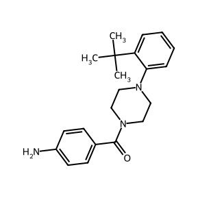 CC(C)(C)c1ccccc1N1CCN(C(=O)c2ccc(N)cc2)CC1